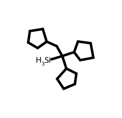 [SiH3]C(CC1CCCC1)(C1CCCC1)C1CCCC1